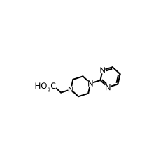 O=C(O)CN1CCN(c2ncccn2)CC1